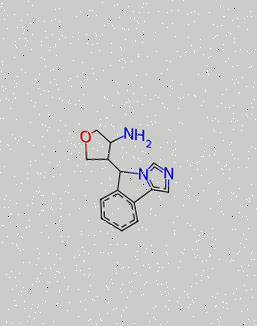 NC1COCC1C1c2ccccc2-c2cncn21